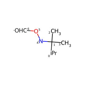 CC(C)C(C)(C)[N]O[C]=O